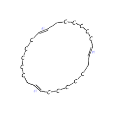 C1=C/CCCCCC/C=C/CCCCCC/C=C/CCCCCC/1